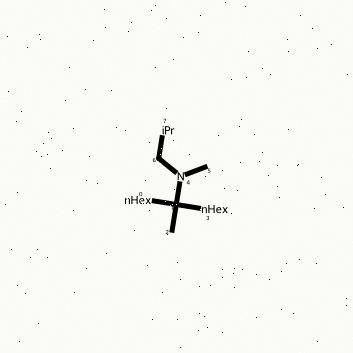 CCCCCCC(C)(CCCCCC)N(C)CC(C)C